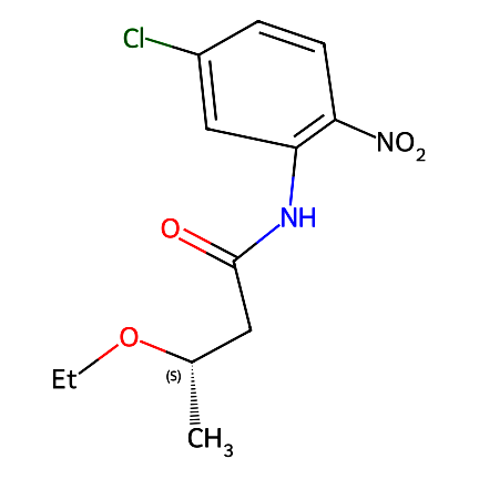 CCO[C@@H](C)CC(=O)Nc1cc(Cl)ccc1[N+](=O)[O-]